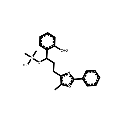 Cc1oc(-c2ccccc2)nc1CCC(O[Si](C)(C)C(C)(C)C)c1ccccc1C=O